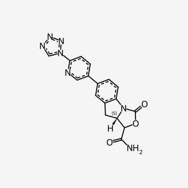 NC(=O)C1OC(=O)N2c3ccc(-c4ccc(-n5cnnn5)nc4)cc3C[C@@H]12